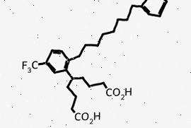 O=C(O)CCCC(CCCC(=O)O)c1cc(C(F)(F)F)ccc1CCCCCCCCc1ccccc1